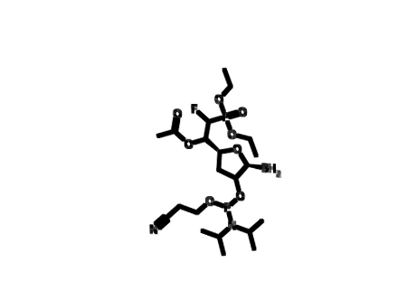 B[C@@H]1O[C@H](C(OC(C)=O)C(F)P(=O)(OCC)OCC)CC1OP(OCCC#N)N(C(C)C)C(C)C